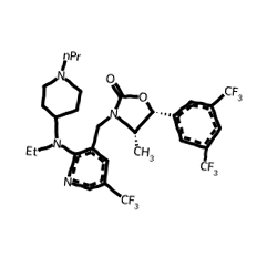 CCCN1CCC(N(CC)c2ncc(C(F)(F)F)cc2CN2C(=O)O[C@H](c3cc(C(F)(F)F)cc(C(F)(F)F)c3)[C@@H]2C)CC1